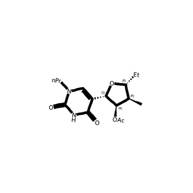 CCCn1cc([C@@H]2O[C@H](CC)[C@@H](C)[C@H]2OC(C)=O)c(=O)[nH]c1=O